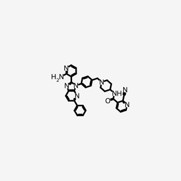 N#Cc1ncccc1C(=O)NC1CCN(Cc2ccc(-n3c(-c4cccnc4N)nc4ccc(-c5ccccc5)nc43)cc2)CC1